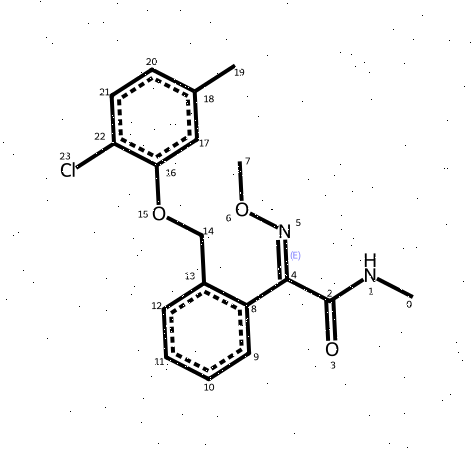 CNC(=O)/C(=N/OC)c1ccccc1COc1cc(C)ccc1Cl